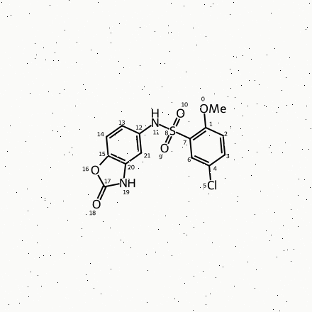 COc1ccc(Cl)cc1S(=O)(=O)Nc1ccc2oc(=O)[nH]c2c1